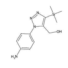 C[Si](C)(C)c1nnn(-c2ccc(N)cc2)c1CO